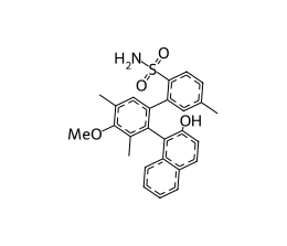 COc1c(C)cc(-c2cc(C)ccc2S(N)(=O)=O)c(-c2c(O)ccc3ccccc23)c1C